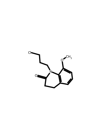 COc1cccc2c1N(CCCCl)C(=O)CC2